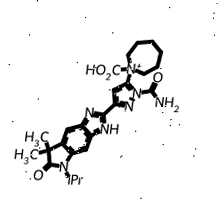 CC(C)N1C(=O)C(C)(C)c2cc3nc(-c4[c]c([N+]5(C(=O)O)CCCCCC5)n(C(N)=O)n4)[nH]c3cc21